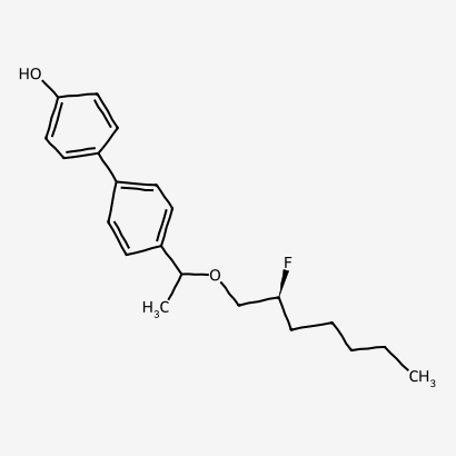 CCCCC[C@H](F)COC(C)c1ccc(-c2ccc(O)cc2)cc1